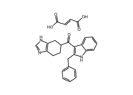 O=C(O)C=CC(=O)O.O=C(c1c(Cc2ccccc2)[nH]c2ccccc12)C1CCc2nc[nH]c2C1